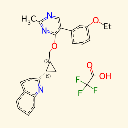 CCOc1cccc(-c2cnc(C)nc2OC[C@H]2C[C@@H]2c2ccc3ccccc3n2)c1.O=C(O)C(F)(F)F